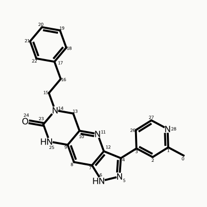 Cc1cc(-c2n[nH]c3cc4c(nc23)CN(CCc2ccccc2)C(=O)N4)ccn1